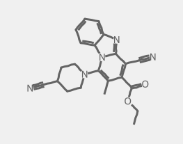 CCOC(=O)c1c(C)c(N2CCC(C#N)CC2)n2c(nc3ccccc32)c1C#N